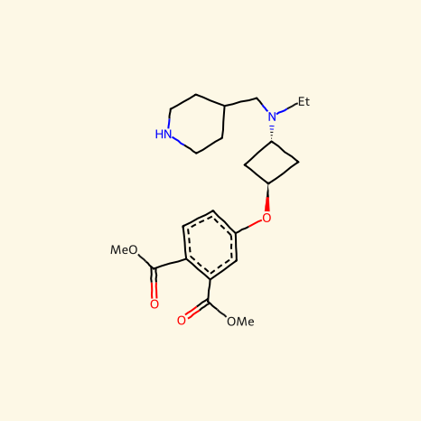 CCN(CC1CCNCC1)[C@H]1C[C@H](Oc2ccc(C(=O)OC)c(C(=O)OC)c2)C1